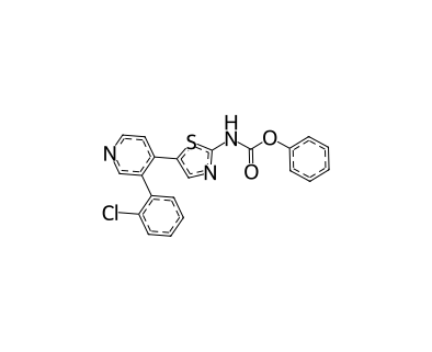 O=C(Nc1ncc(-c2ccncc2-c2ccccc2Cl)s1)Oc1ccccc1